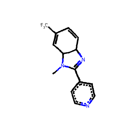 CN1C(c2ccncc2)=NC2C=CC(C(F)(F)F)=CC21